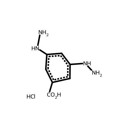 Cl.NNc1cc(NN)cc(C(=O)O)c1